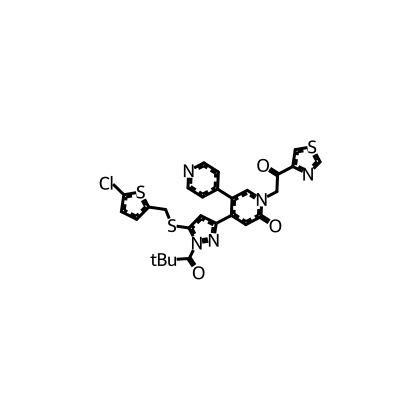 CC(C)(C)C(=O)n1nc(-c2cc(=O)n(CC(=O)c3cscn3)cc2-c2ccncc2)cc1SCc1ccc(Cl)s1